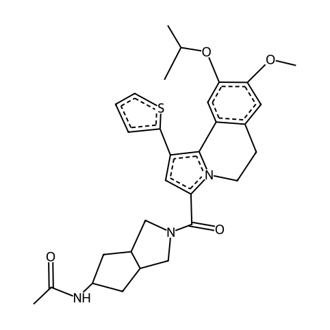 COc1cc2c(cc1OC(C)C)-c1c(-c3cccs3)cc(C(=O)N3CC4CC(NC(C)=O)CC4C3)n1CC2